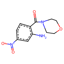 Nc1cc([N+](=O)[O-])ccc1C(=O)N1CCOCC1